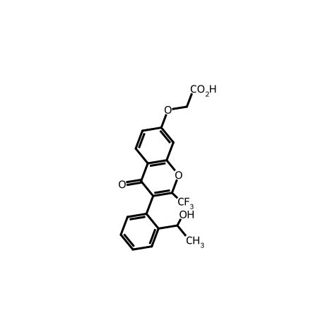 CC(O)c1ccccc1-c1c(C(F)(F)F)oc2cc(OCC(=O)O)ccc2c1=O